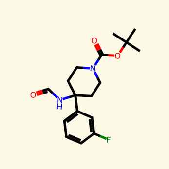 CC(C)(C)OC(=O)N1CCC(NC=O)(c2cccc(F)c2)CC1